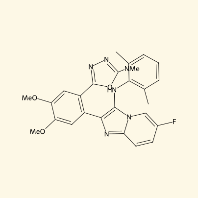 CNc1nnc(-c2cc(OC)c(OC)cc2-c2nc3ccc(F)cn3c2Nc2c(C)cccc2C)o1